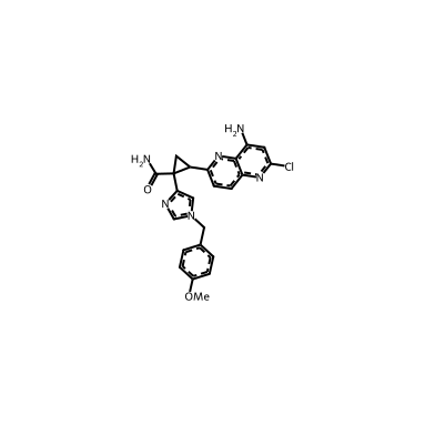 COc1ccc(Cn2cnc(C3(C(N)=O)CC3c3ccc4nc(Cl)cc(N)c4n3)c2)cc1